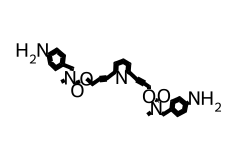 CN(Cc1ccc(N)cc1)C(=O)OCC#Cc1cccc(C#CCOC(=O)N(C)Cc2ccc(N)cc2)n1